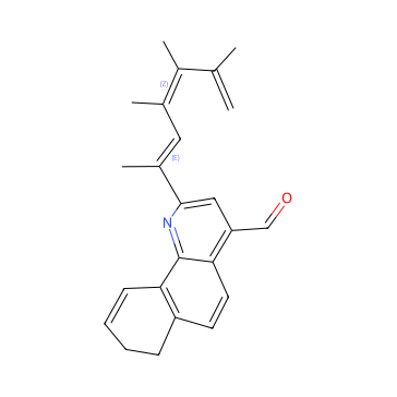 C=C(C)/C(C)=C(C)\C=C(/C)c1cc(C=O)c2ccc3c(c2n1)C=CCC3